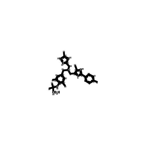 Cc1ccc(-c2nc(CN(Cc3cc(C)c(OC(C)(C)C(=O)O)c(C)c3)Cc3nc(C)no3)c(C)o2)cc1